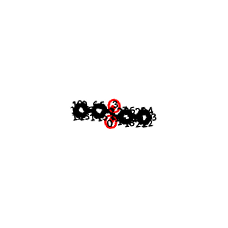 O=C(C(=O)c1ccc(-c2ccccc2)cc1)c1ccc(-c2ccccc2)cc1